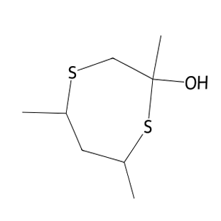 CC1CC(C)SC(C)(O)CS1